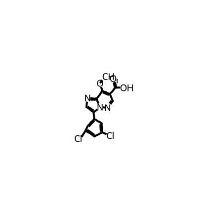 COc1c(C(=O)O)cnn2c(-c3cc(Cl)cc(Cl)c3)cnc12